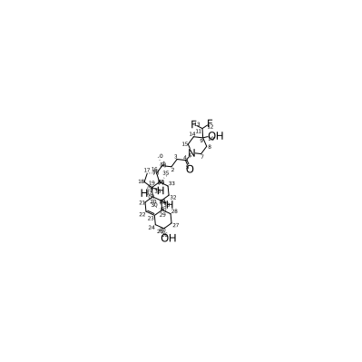 C[C@H](CCC(=O)N1CCC(O)(C(F)F)CC1)[C@H]1CC[C@H]2[C@@H]3CC=C4C[C@@H](O)CC[C@]4(C)[C@H]3CC[C@]12C